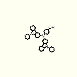 Oc1ccc(N(c2ccc3c(c2)c2ccccc2n3-c2ccccc2)c2ccc3c(c2)c2ccccc2n3-c2ccccc2)cc1